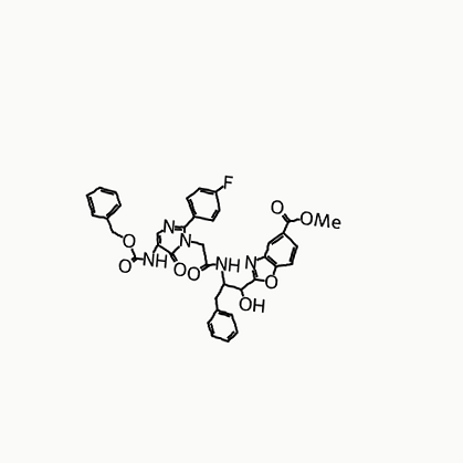 COC(=O)c1ccc2oc(C(O)C(Cc3ccccc3)NC(=O)Cn3c(-c4ccc(F)cc4)ncc(NC(=O)OCc4ccccc4)c3=O)nc2c1